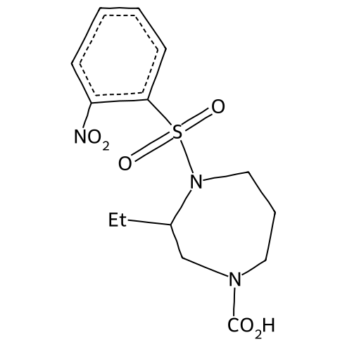 CCC1CN(C(=O)O)CCCN1S(=O)(=O)c1ccccc1[N+](=O)[O-]